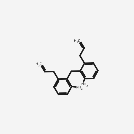 C=CCc1cccc(N)c1Cc1c(N)cccc1CC=C